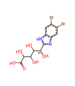 O=C(O)C(O)C(O)C(O)[C@H](O)c1nc2cc(Br)c(Br)cc2[nH]1